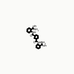 CCCC(N)c1ccccc1NC(=O)c1cccc(C(=O)Nc2ccccc2C(N)CCC)c1